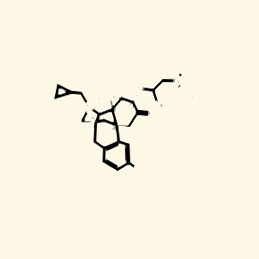 CN(C)CC(O)N[C@H]1C[C@@]2(O)[C@@H]3N(CC4CC4)C[C@@]34Cc3ccc(O)cc3[C@]2(CC1=O)C4